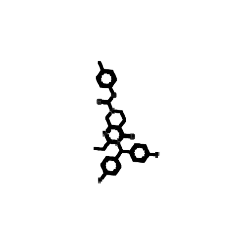 CCc1nc2c(c(=O)n1C(c1ccc(F)cc1)c1ccc(F)cc1)CCN(C(=O)Oc1ccc(C)cc1)C2